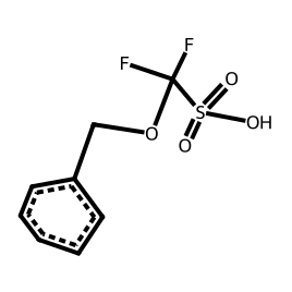 O=S(=O)(O)C(F)(F)OCc1ccccc1